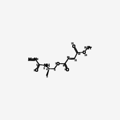 CNC(=O)N[C@H](C)COC(=O)/C=C/C(=O)OC(C)C